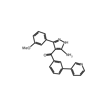 COc1cccc(-c2n[nH]c(N)c2C(=O)c2cccc(-c3cccnc3)c2)c1